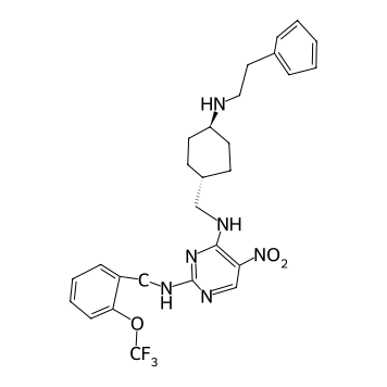 O=[N+]([O-])c1cnc(NCc2ccccc2OC(F)(F)F)nc1NC[C@H]1CC[C@H](NCCc2ccccc2)CC1